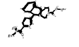 CCN(CC)C(=O)c1ccc(C2CC3(CCN(C(=O)OC(C)(C)C)CC3)Cc3ccccc32)cn1